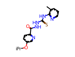 Cc1cccnc1NC(=S)NNC(=O)c1ccc(OC(C)C)cn1